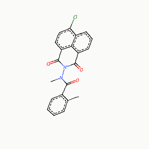 Cc1ccccc1C(=O)N(C)N1C(=O)c2cccc3c(Cl)ccc(c23)C1=O